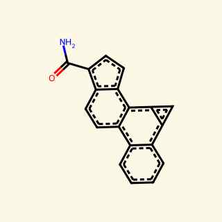 NC(=O)c1ccc2c1ccc1c3ccccc3c3cc3c21